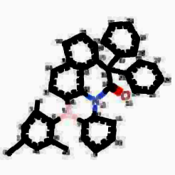 Cc1cc(C)c(B2c3ccccc3N3C(=O)C(c4ccccc4)(c4ccccc4)c4cccc5ccc2c3c45)c(C)c1